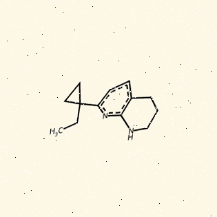 CCC1(c2ccc3c(n2)NCCC3)CC1